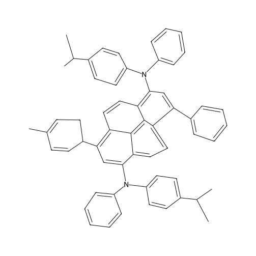 CC1=CCC(c2cc(N(c3ccccc3)c3ccc(C(C)C)cc3)c3ccc4c(-c5ccccc5)cc(N(c5ccccc5)c5ccc(C(C)C)cc5)c5ccc2c3c45)C=C1